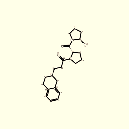 N#C[C@@H]1CSCN1C(=O)[C@@H]1CCCN1C(=O)CC[C@@H]1CCc2ccccc2C1